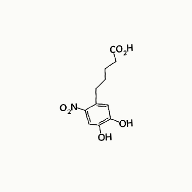 O=C(O)CCCCc1cc(O)c(O)cc1[N+](=O)[O-]